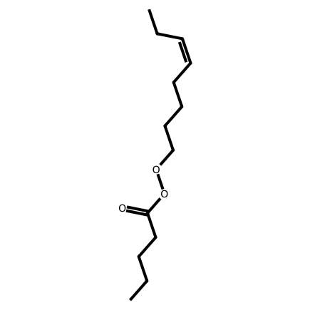 CC/C=C\CCCCOOC(=O)CCCC